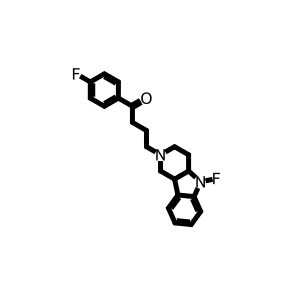 O=C(CCCN1CCC2C(C1)c1ccccc1N2F)c1ccc(F)cc1